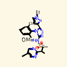 CCn1ccc(-c2nnc(NS(=O)(=O)[C@@H](C)C(C)c3ncc(C)cn3)n2-c2c(OC)cccc2OC)n1